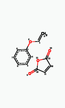 C=COc1ccccc1.O=C1C=CC(=O)O1